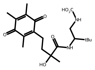 CC1=C(C)C(=O)C(CCC(C)(O)C(=O)NC(CNC(=O)O)C(C)(C)C)=C(C)C1=O